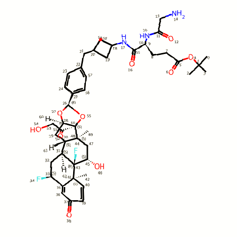 CC(C)(C)OC(=O)CC[C@H](NC(=O)CN)C(=O)NC12CC(Cc3ccc([C@@H]4O[C@@H]5C[C@H]6[C@@H]7C[C@H](F)C8=CC(=O)C=C[C@]8(C)[C@@]7(F)[C@@H](O)C[C@]6(C)[C@]5(C(=O)CO)O4)cc3)(C1)C2